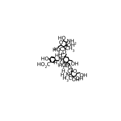 CC1(COCC2(C)C(CO)OC(O)C(N)[C@]2(C)O)CC(CO)C(C)(COCC2(C)OC(CO)C(O)[C@@](C)(O)C2N)[C@@](C)(O)C1NCc1ccc(O)c(C(=O)O)c1